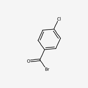 O=C(Br)c1ccc(Cl)cc1